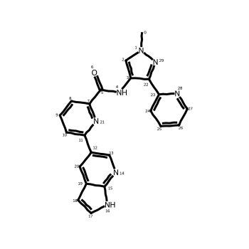 Cn1cc(NC(=O)c2cccc(-c3cnc4[nH]ccc4c3)n2)c(-c2ccccn2)n1